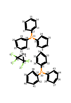 F[C]1(F)[Pt][C]1(F)F.c1ccc(P(c2ccccc2)c2ccccc2)cc1.c1ccc(P(c2ccccc2)c2ccccc2)cc1